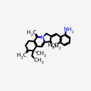 C=C1C2=CC3=C(CCC(=C)[C@]3(C)CC)C(=C)N2C/C1=C/c1c(C)cccc1N